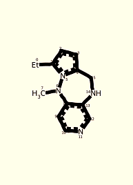 CCc1ccc2n1N(C)c1ccncc1NC2